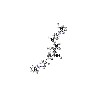 CC[n+]1ccccc1/C=C/c1ccc(N(C)CCCN(C)C(=O)C(N)SSC(N)C(=O)N(C)CCCN(C)c2ccc(/C=C/c3cccc[n+]3CC)cc2)cc1